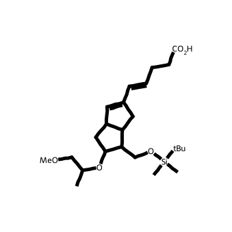 COCC(C)OC1CC2C=C(C=CCCC(=O)O)CC2C1CO[Si](C)(C)C(C)(C)C